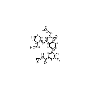 Cc1c(F)cc(C(=O)NC2CC2)cc1-c1ccc2c(=O)n(CC3CC3)cc(CN3CCNCC3CO)c2c1